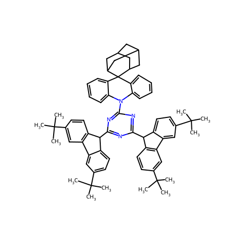 CC(C)(C)c1ccc2c(c1)-c1cc(C(C)(C)C)ccc1C2c1nc(C2c3ccc(C(C)(C)C)cc3-c3cc(C(C)(C)C)ccc32)nc(N2c3ccccc3C3(c4ccccc42)C2CC4CC(C2)CC3C4)n1